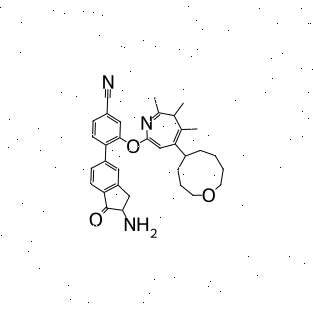 CC1=NC(Oc2cc(C#N)ccc2-c2ccc3c(c2)CC(N)C3=O)=CC(C2CCCCOCCC2)=C(C)C1C